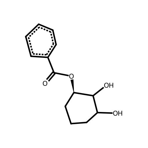 O=C(O[C@@H]1CCCC(O)C1O)c1ccccc1